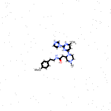 COc1ccc(CCNC(=O)CC2CN(C(C)=O)CCN2c2cc(C)nc(-n3ccnc3)n2)cc1